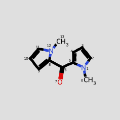 Cn1cccc1C(=O)c1cccn1C